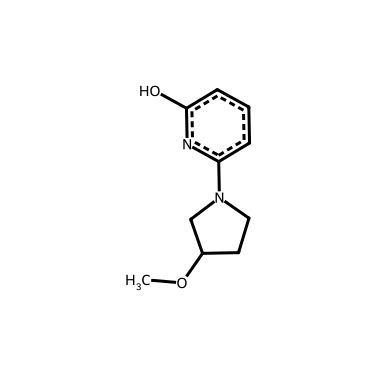 COC1CCN(c2cccc(O)n2)C1